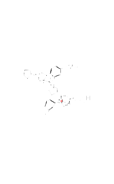 CCOC[C@H]1CN(C(=O)[C@]2(F)CN(C3CCCC3)C[C@H]2c2ccc(OC)cc2)C[C@@H]1c1ccc(C(F)(F)F)cc1N1CCC(C(=O)O)CC1